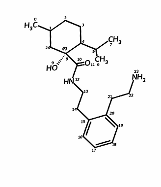 CC1CCC(C(C)C)[C@@](O)(C(=O)NCCc2ccccc2CCN)C1